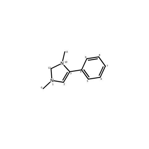 CN1C=C(c2ccccc2)N(C)C1